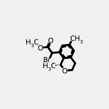 COC(=O)C(Br)c1cc(C)cc2c1[C@@H](C)OCC2